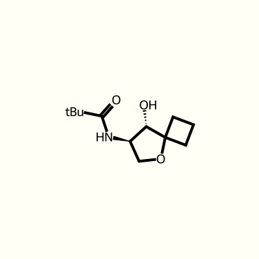 CC(C)(C)C(=O)N[C@@H]1COC2(CCC2)[C@H]1O